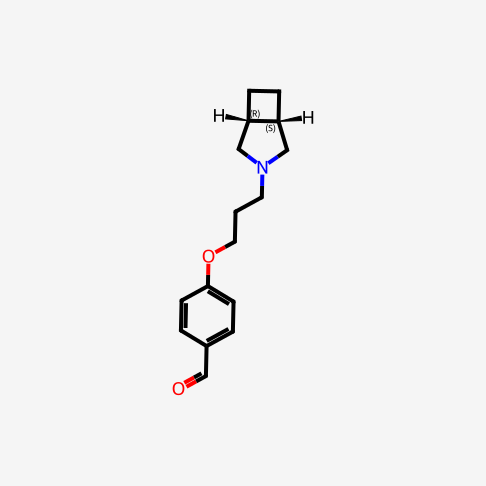 O=Cc1ccc(OCCCN2C[C@H]3CC[C@H]3C2)cc1